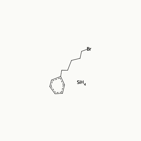 BrCCCCCc1ccccc1.[SiH4]